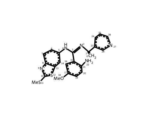 C=C(/N=C(/Nc1ccc2nc(SC)sc2c1)c1cc(OC)ccc1N)c1cccnc1